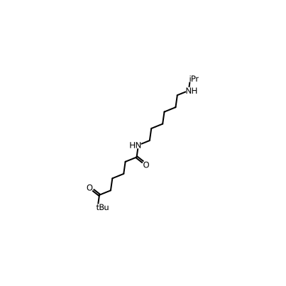 CC(C)NCCCCCCNC(=O)CCCCC(=O)C(C)(C)C